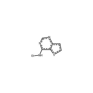 CCNc1ncnc2ccsc12